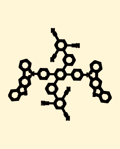 N#Cc1cc(C#N)c(-c2cccc(-c3cc(-c4ccc(-n5c6ccccc6c6cc7c(cc65)sc5ccccc57)cc4)c(-c4cccc(-c5c(C#N)cc(C#N)cc5C#N)c4)cc3-c3ccc(-n4c5ccccc5c5cc6c(cc54)sc4ccccc46)cc3)c2)c(C#N)c1